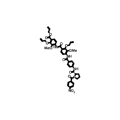 C=CCOC(=O)c1ccc(NC(=O)c2ccc(NC(=O)c3ccc(NC(=O)[C@@H]4CCCN4C(=O)c4ccc([N+](=O)[O-])cc4)cc3)c(OC)c2OCC=C)c(OC)c1OCC=C